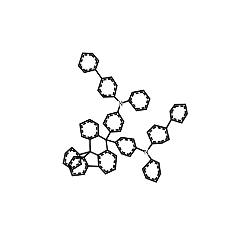 c1ccc(-c2ccc(N(c3ccccc3)c3ccc(C4(c5ccc(N(c6ccccc6)c6ccc(-c7ccccc7)cc6)cc5)c5ccccc5C5(c6ccccc6)c6ccccc6-c6cccc4c65)cc3)cc2)cc1